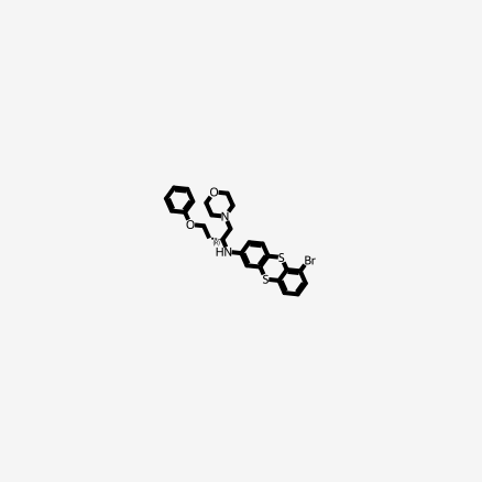 Brc1cccc2c1Sc1ccc(N[C@H](CCOc3ccccc3)CN3CCOCC3)cc1S2